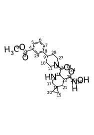 COC(=O)c1cccc(C2CCN(C(=O)C3NCC4(CC4)CC3C(=O)NO)CC2)c1